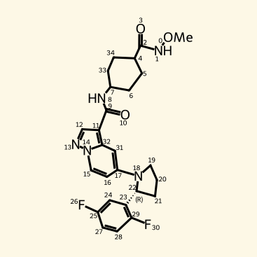 CONC(=O)C1CCC(NC(=O)c2cnn3ccc(N4CCC[C@@H]4c4cc(F)ccc4F)cc23)CC1